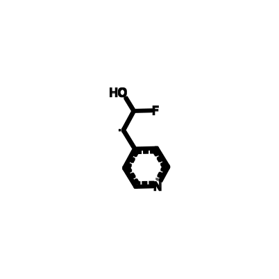 OC(F)[CH]c1ccncc1